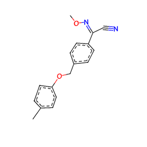 CO/N=C(/C#N)c1ccc(COc2ccc(C)cc2)cc1